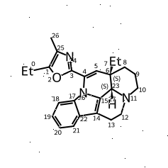 CCc1oc(C2=C[C@]3(CC)CCCN4CCc5c(n2c2ccccc52)[C@@H]43)nc1C